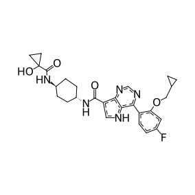 O=C(N[C@H]1CC[C@H](NC(=O)C2(O)CC2)CC1)c1c[nH]c2c(-c3ccc(F)cc3OCC3CC3)ncnc12